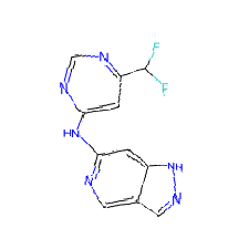 FC(F)c1cc(Nc2cc3[nH]ncc3cn2)ncn1